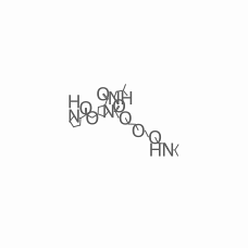 CC(C)CNC(=O)C1CC(OC(=O)C2CCCN2)CN1C(=O)COCCOCCOCCNC(C)C